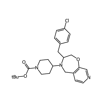 CC(C)(C)OC(=O)N1CCC(N2Cc3ccncc3OCC2Cc2ccc(Cl)cc2)CC1